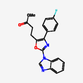 COC(=O)CCc1oc(-n2cnc3ccccc32)nc1-c1ccc(F)cc1